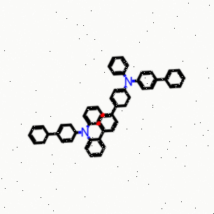 C1=CCC(C2=CCC(N(c3ccccc3)c3ccccc3-c3ccc(C4=CC=C(N(c5ccccc5)c5ccc(-c6ccccc6)cc5)CC4)cc3)C=C2)C=C1